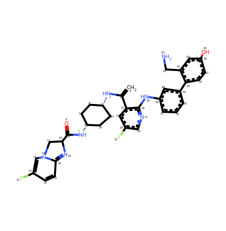 C=C(N[C@H]1CC[C@@H](NC(=O)C2CN3C=C(F)C=CC3=N2)CC1)c1cc(F)cnc1Nc1cccc(-c2ccc(O)cc2CN)c1